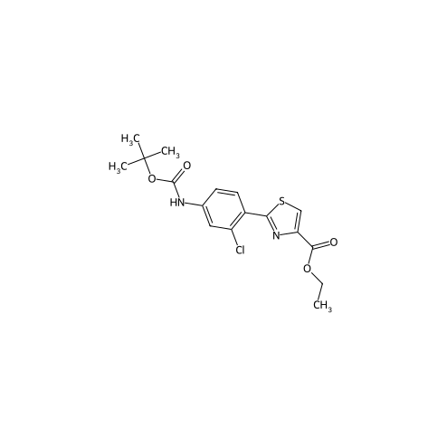 CCOC(=O)c1csc(-c2ccc(NC(=O)OC(C)(C)C)cc2Cl)n1